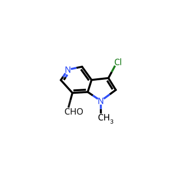 Cn1cc(Cl)c2cncc(C=O)c21